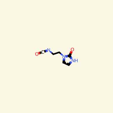 O=C=NCCn1cc[nH]c1=O